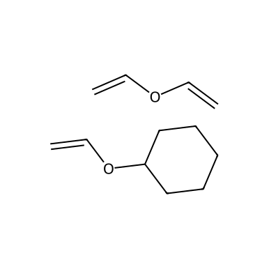 C=COC1CCCCC1.C=COC=C